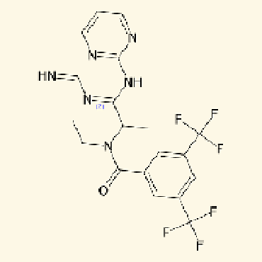 CCN(C(=O)c1cc(C(F)(F)F)cc(C(F)(F)F)c1)C(C)/C(=N/C=N)Nc1ncccn1